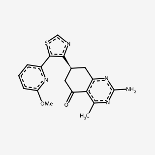 COc1cccc(-c2scnc2[C@@H]2CC(=O)c3c(C)nc(N)nc3C2)n1